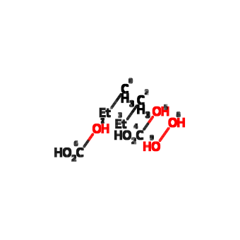 CCC.CCC.O=C(O)O.O=C(O)O.OO